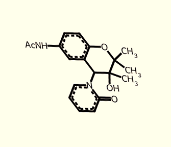 CC(=O)Nc1ccc2c(c1)C(n1ccccc1=O)C(C)(O)C(C)(C)O2